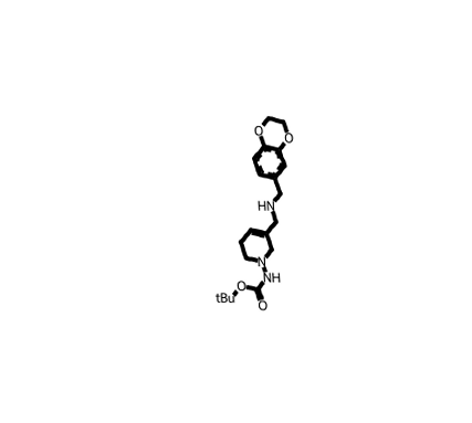 CC(C)(C)OC(=O)NN1CCC=C(CNCc2ccc3c(c2)OCCO3)C1